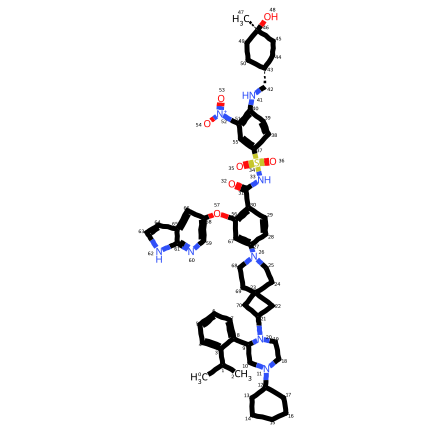 CC(C)c1ccccc1C1CN(C2CCCCC2)CCN1C1CC2(CCN(c3ccc(C(=O)NS(=O)(=O)c4ccc(NC[C@H]5CC[C@](C)(O)CC5)c([N+](=O)[O-])c4)c(Oc4cnc5[nH]ccc5c4)c3)CC2)C1